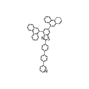 C1=Cc2cc(-c3cc(-c4cc5ccccc5c5ccccc45)c4nc(-c5ccc(-c6ccc(-c7cccnc7)cc6)cc5)sc4c3)c3ccccc3c2CC1